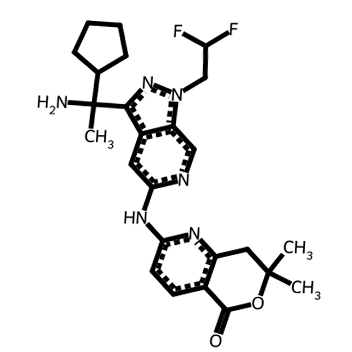 CC1(C)Cc2nc(Nc3cc4c(C(C)(N)C5CCCC5)nn(CC(F)F)c4cn3)ccc2C(=O)O1